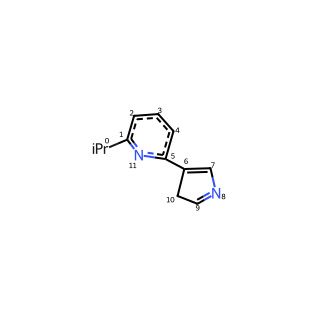 CC(C)c1cccc(C2=CN=CC2)n1